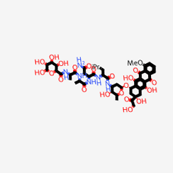 COc1cccc2c1C(=O)c1c(O)c3c(c(O)c1C2=O)C[C@@](O)(C(=O)CO)C[C@@H]3O[C@@H]1CC(NC(=O)C(CC(C)C)NC(=O)C(CC(N)=O)NC(=O)C(C)NC(=O)C(C)NC(=O)C2OC(O)C(O)C(O)C2O)[C@@H](O)C(C)O1